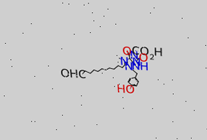 CN1C(CCCCCCCCCCC=O)=NC2(NCCc3ccc(O)cc3)C1C(=O)N(C(=O)O)C(=O)N2C